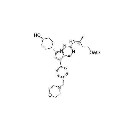 COCC[C@H](C)Nc1ncc2c(-c3ccc(CN4CCOCC4)cc3)cc([C@H]3CC[C@H](O)CC3)n2n1